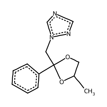 CC1COC(Cn2cncn2)(c2ccccc2)O1